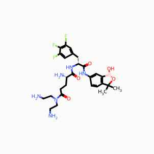 CC1(C)OB(O)c2cc(NC(=O)[C@@H](Cc3cc(F)c(F)c(F)c3)NC(=O)[C@@H](N)CCC(=O)N(CCN)CCN)ccc21